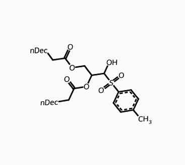 CCCCCCCCCCCC(=O)OCC(OC(=O)CCCCCCCCCCC)C(O)S(=O)(=O)c1ccc(C)cc1